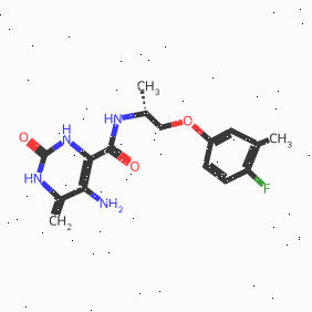 C=C1NC(=O)NC(C(=O)N[C@H](C)COc2ccc(F)c(C)c2)=C1N